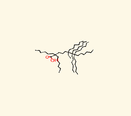 CCCCCCC(CCCCCC)(CCCC(CC)(CCCCCC)C(CCCCCC)(CCCCCC)C(CCCCCC)(CCCCCC)CCCCCC)C(=O)O